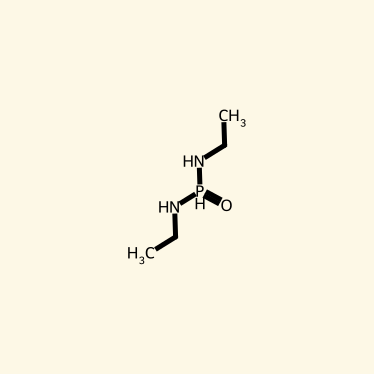 CCN[PH](=O)NCC